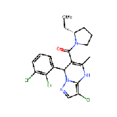 COC[C@@H]1CCCN1C(=O)C1=C(C)Nc2c(Cl)cnn2C1c1cccc(Cl)c1Cl